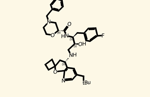 CC(C)(C)Cc1cnc2c(c1)[C@@H](NC[C@H](O)[C@H](Cc1ccc(F)cc1)NC(=O)[C@H]1CN(Cc3ccccc3)CCO1)CC1(CCC1)O2